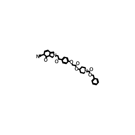 N#CC1C=CC2=CN(CC(=O)c3ccc(OCC(=O)OC4CCN(C(=O)OCc5ccccc5)CC4)cc3)CC2C1=O